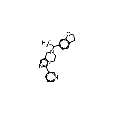 CC(c1ccc2c(c1)OCC2)N1CCn2c(cnc2-c2cccnc2)C1